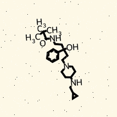 CC(C)(C)C(=O)NCCC(O)(CCN1CCC(NCC2CC2)CC1)c1ccccc1